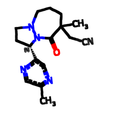 Cc1cnc([C@@H]2CCN3CCCC(C)(CC#N)C(=O)N23)cn1